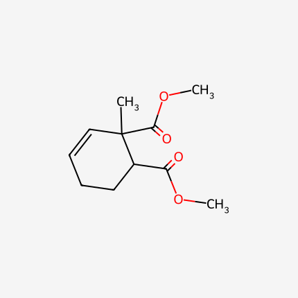 COC(=O)C1CCC=CC1(C)C(=O)OC